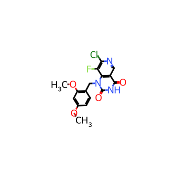 COc1ccc(Cn2c(=O)[nH]c(=O)c3cnc(Cl)c(F)c32)c(OC)c1